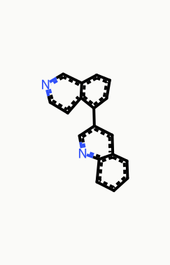 c1ccc2ncc(-c3cccc4cnccc34)cc2c1